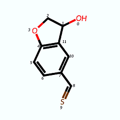 OC1COc2ccc(C=S)cc21